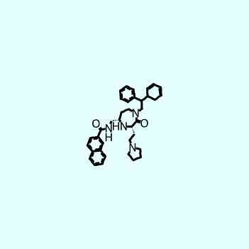 O=C(NC[C@@H]1CCN(CC(c2ccccc2)C2C=CC=CC2)C(=O)[C@H](CCN2CCCC2)N1)c1ccc2ccccc2c1